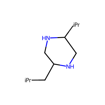 CC(C)CC1CNC(C(C)C)CN1